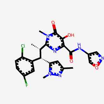 Cc1cc([C@H](c2cc(F)ccc2Cl)[C@H](C)c2nc(C(=O)Nc3cnoc3)c(O)c(=O)n2C)n(C)n1